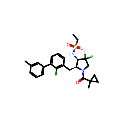 CCS(=O)(=O)N[C@@H]1[C@H](Cc2cccc(-c3cccc(C)c3)c2F)N(C(=O)C2(C)CC2)CC1(F)F